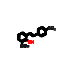 COc1cccc(C=Cc2ccc([N+](=O)[O-])cc2)c1O